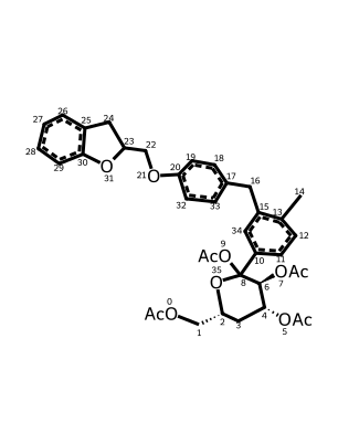 CC(=O)OC[C@H]1C[C@@H](OC(C)=O)[C@H](OC(C)=O)C(OC(C)=O)(c2ccc(C)c(Cc3ccc(OCC4Cc5ccccc5O4)cc3)c2)O1